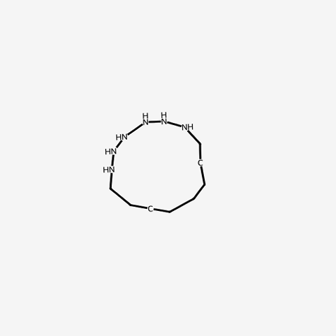 C1CCCCNNNNNNCCC1